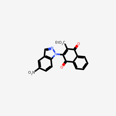 CCOC(=O)C1=C(n2ncc3cc([N+](=O)[O-])ccc32)C(=O)c2ccccc2C1=O